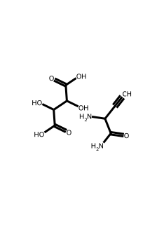 C#CC(N)C(N)=O.O=C(O)C(O)C(O)C(=O)O